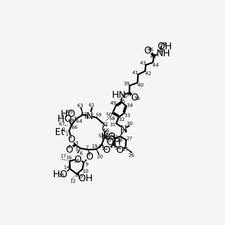 CC[C@H]1OC(=O)[C@H](C)[C@@H](O[C@H]2C[C@@](C)(O)[C@@H](O)[C@H](C)O2)[C@H](C)[C@@H](O[C@@H]2O[C@H](C)C[C@H](N(C)Cc3ccc(NC(=O)CCCCCCC(=O)NO)cc3)[C@@H]2O)[C@](C)(O)C[C@@H](C)CN(C)[C@H](C)[C@@H](O)[C@]1(C)O